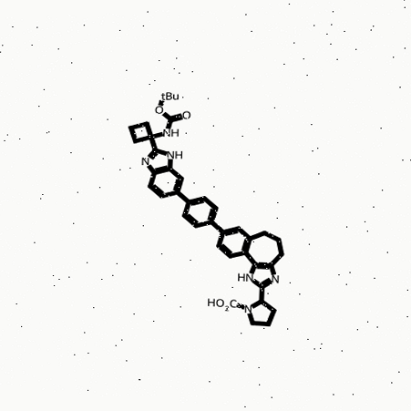 CC(C)(C)OC(=O)NC1(c2nc3ccc(-c4ccc(-c5ccc6c(c5)CCCc5nc(C7CCCN7C(=O)O)[nH]c5-6)cc4)cc3[nH]2)CCC1